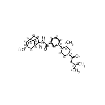 C[C@@H]1CN(C(=O)CN(C)C)CCN1c1cccc(C(=O)N[C@H]2C3CC4CC2C[C@](O)(C4)C3)n1